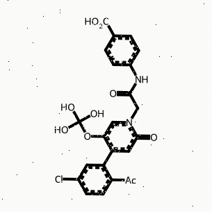 CC(=O)c1ccc(Cl)cc1-c1cc(=O)n(CC(=O)Nc2ccc(C(=O)O)cc2)cc1OC(O)(O)O